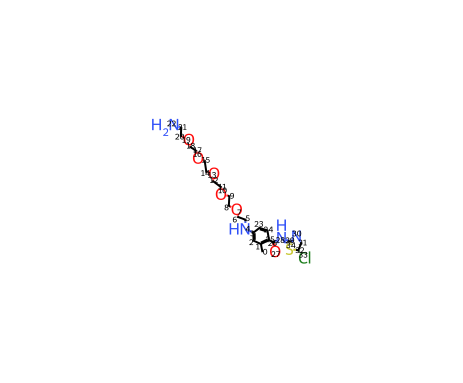 Cc1cc(NCCOCCOCCOCCOCCOCCN)ccc1C(=O)NC1=NCC(Cl)S1